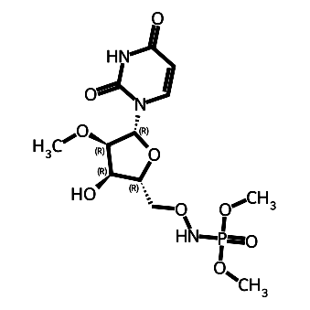 CO[C@@H]1[C@H](O)[C@@H](CONP(=O)(OC)OC)O[C@H]1n1ccc(=O)[nH]c1=O